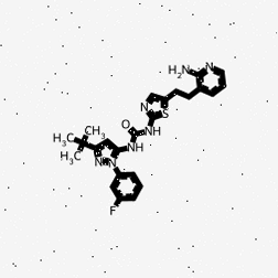 CC(C)(C)c1cc(NC(=O)Nc2ncc(CCc3cccnc3N)s2)n(-c2cccc(F)c2)n1